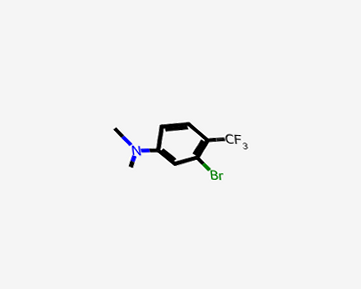 CN(C)c1ccc(C(F)(F)F)c(Br)c1